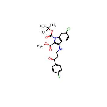 COC(=O)c1c(NCCC(=O)c2ccc(F)cc2)c2ccc(Cl)cc2n1C(=O)OC(C)(C)C